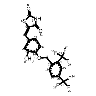 Cc1cc(C=C2SC(=O)NC2=O)ccc1OCc1ccc(C(F)(F)F)cc1C(F)(F)F